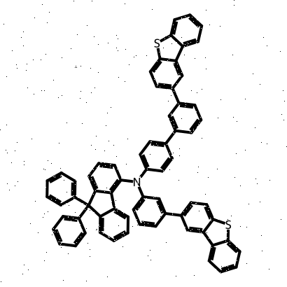 c1ccc(C2(c3ccccc3)c3ccccc3-c3c(N(c4ccc(-c5cccc(-c6ccc7sc8ccccc8c7c6)c5)cc4)c4cccc(-c5ccc6sc7ccccc7c6c5)c4)cccc32)cc1